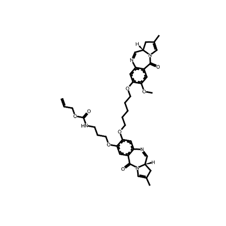 C=CCOC(=O)NCCCOc1cc2c(cc1OCCCCCOc1cc3c(cc1OC)C(=O)N1C=C(C)C[C@H]1C=N3)N=C[C@@H]1CC(C)=CN1C2=O